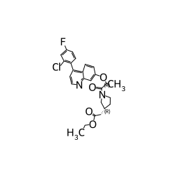 CCOC(=O)C[C@H]1CCN(C(=O)[C@@H](C)Oc2ccc3c(-c4ccc(F)cc4Cl)ccnc3c2)C1